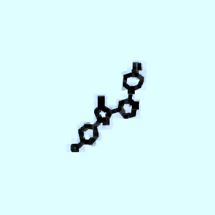 CCN1CCN(c2cc(-c3nc(-c4ccc(Cl)cc4)c[nH]3)ccn2)CC1